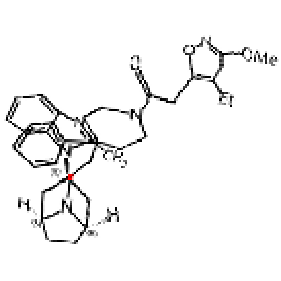 CCc1c(OC)noc1CC(=O)N1CCC(CCN2[C@@H]3CC[C@H]2C[C@@H](n2c(C)nc4ccccc42)C3)(c2ccccc2)CC1